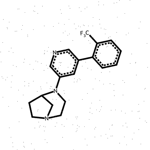 FC(F)(F)c1ccccc1-c1cncc(N2CCN3CCC2C3)c1